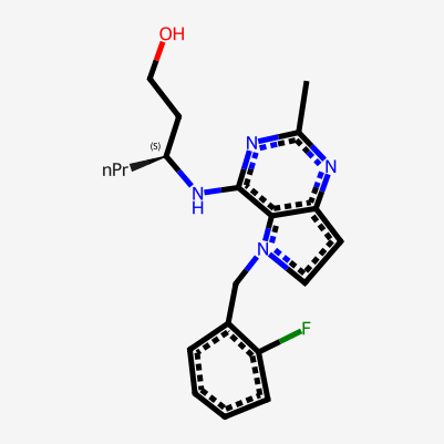 CCC[C@@H](CCO)Nc1nc(C)nc2ccn(Cc3ccccc3F)c12